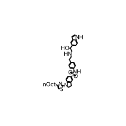 CCCCCCCCc1csc(N2CCc3cc(S(=O)(=O)Nc4ccc(CCNCC(O)c5ccc6[nH]ccc6c5)cc4)ccc32)n1